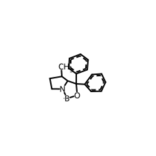 CC1CCN2[B]OC(c3ccccc3)(c3ccccc3)C12